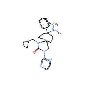 CN(C)[C@]1(c2ccccc2)CC[C@@]2(CC1)CN(c1cnccn1)C(=O)N2CC1CCC1